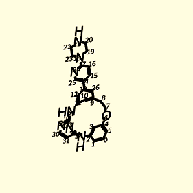 c1cc2cc(c1)OCCc1cc(cc(-c3ccc(N4CCNCC4)nc3)c1)Nc1nccc(n1)N2